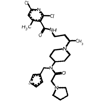 Cc1cc(Cl)nc(Cl)c1C(=O)NCCC(C)N1CCC(N(Cc2ccsc2)C(=O)CN2CCCC2)CC1